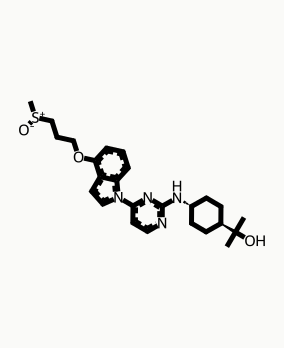 C[S+]([O-])CCCOc1cccc2c1ccn2-c1ccnc(N[C@H]2CC[C@H](C(C)(C)O)CC2)n1